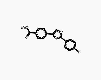 COC(=O)c1ccc(-c2coc(-c3ccc(F)cc3)n2)cc1